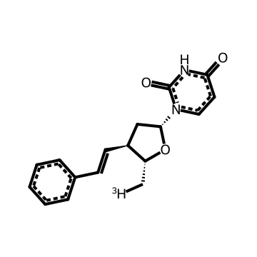 [3H]C[C@H]1O[C@@H](n2ccc(=O)[nH]c2=O)C[C@@H]1/C=C/c1ccccc1